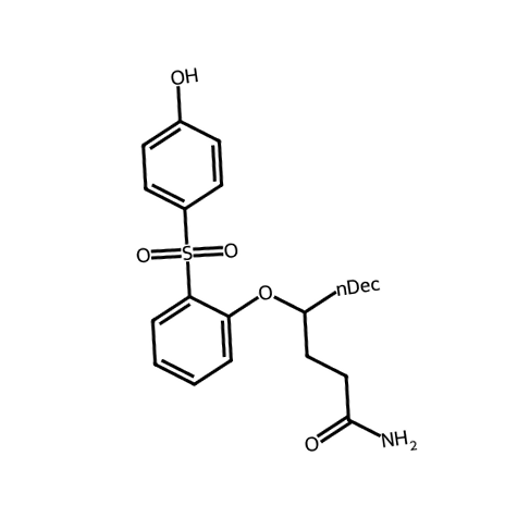 CCCCCCCCCCC(CCC(N)=O)Oc1ccccc1S(=O)(=O)c1ccc(O)cc1